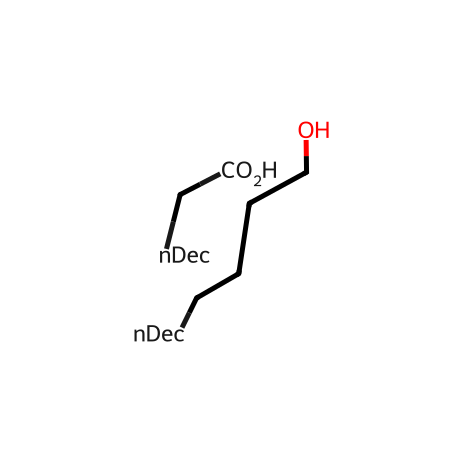 CCCCCCCCCCCC(=O)O.CCCCCCCCCCCCCCO